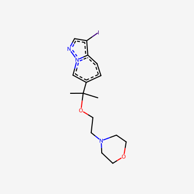 CC(C)(OCCN1CCOCC1)c1ccc2c(I)cnn2c1